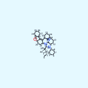 C=CC1(C)c2ccccc2N2c3cccnc3N(c3ccc4oc5ccccc5c4c3-c3ccccc3)C2C1(C)C